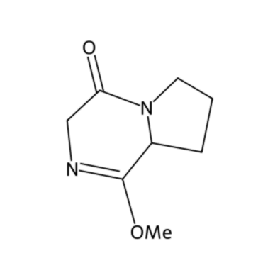 COC1=NCC(=O)N2CCCC12